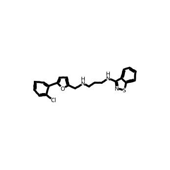 Clc1ccccc1-c1ccc(CNCCCNc2nsc3ccccc23)o1